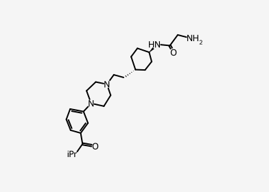 CC(C)C(=O)c1cccc(N2CCN(CC[C@H]3CC[C@H](NC(=O)CN)CC3)CC2)c1